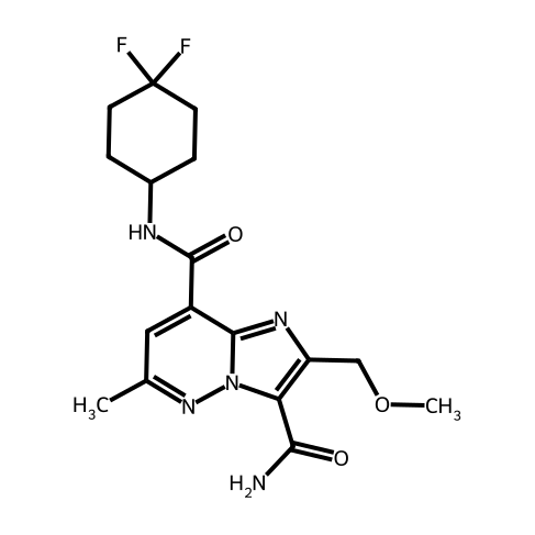 COCc1nc2c(C(=O)NC3CCC(F)(F)CC3)cc(C)nn2c1C(N)=O